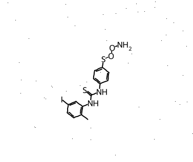 Cc1ccc(I)cc1NC(=S)Nc1ccc(SOON)cc1